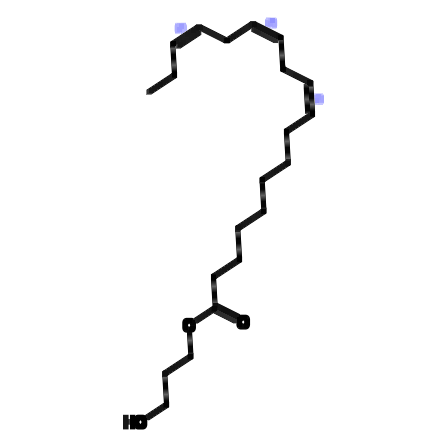 CC/C=C\C/C=C\C/C=C\CCCCCCCC(=O)OCCCO